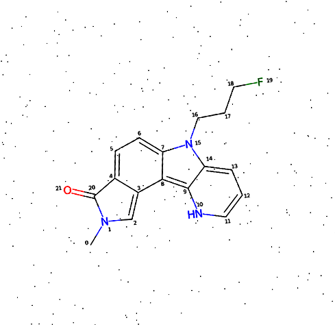 Cn1cc2c(ccc3c2c2[nH]cccc2n3CCCF)c1=O